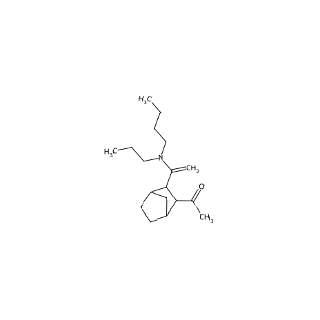 C=C(C1C2CCC(C2)C1C(C)=O)N(CCC)CCCC